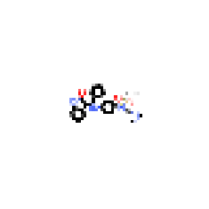 CCCS(=O)(=O)N(CCN(C)C)c1ccc(NC(=C2C(=O)Nc3ccccc32)c2ccccc2)cc1